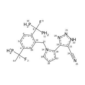 CC(F)(P)c1ccc(C(F)(P)P)c(Cn2cccc2-c2nn[nH]c2C#N)c1